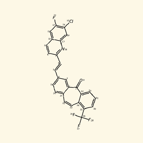 O=c1c2cc(C=Cc3ccc4cc(F)c(Cl)cc4n3)ccc2ccc2c(C(F)(F)F)cccc12